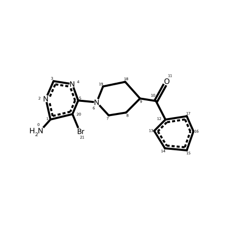 Nc1ncnc(N2CCC(C(=O)c3ccccc3)CC2)c1Br